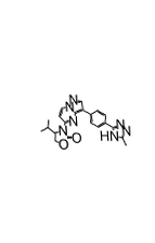 Cc1nnc(-c2ccc(-c3cnn4ccc(N5C(=O)OCC5C(C)C)nc34)cc2)[nH]1